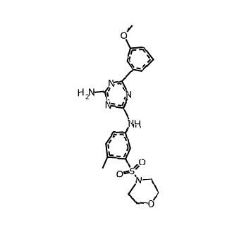 COc1cccc(-c2nc(N)nc(Nc3ccc(C)c(S(=O)(=O)N4CCOCC4)c3)n2)c1